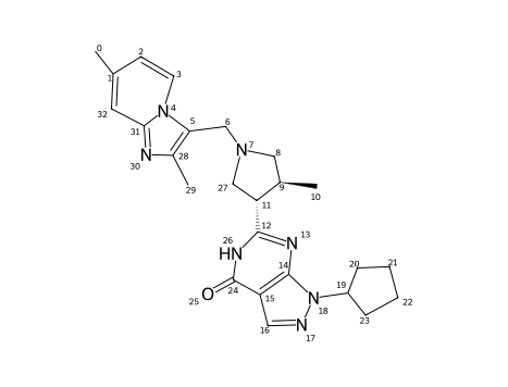 Cc1ccn2c(CN3C[C@@H](C)[C@H](c4nc5c(cnn5C5CCCC5)c(=O)[nH]4)C3)c(C)nc2c1